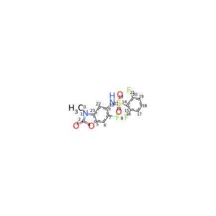 Cn1c(=O)oc2cc(F)c(NS(=O)(=O)c3c(F)cccc3F)cc21